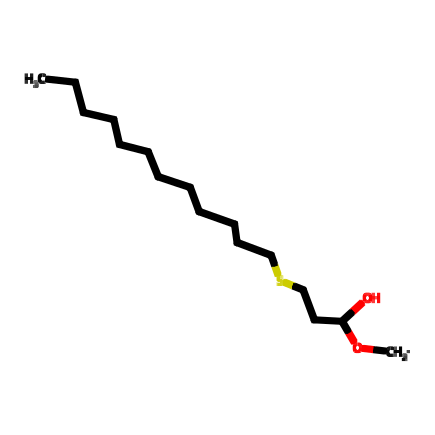 [CH2]OC(O)CCSCCCCCCCCCCCC